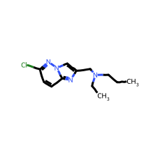 CCCN(CC)Cc1cn2nc(Cl)ccc2n1